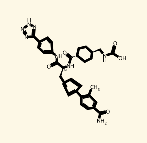 Cc1cc(C(N)=O)ccc1-c1ccc(C[C@H](NC(=O)[C@H]2CC[C@H](CNC(=O)O)CC2)C(=O)Nc2ccc(-c3nn[nH]n3)cc2)cc1